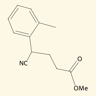 COC(=O)CCC(C#N)c1ccccc1C